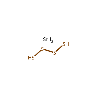 SSSS.[SrH2]